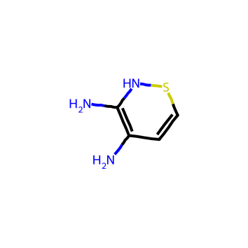 NC1=C(N)NSC=C1